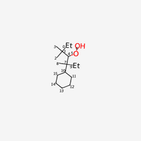 CCC(C)(C)C(OO)C(C)(CC)C1CCCCC1